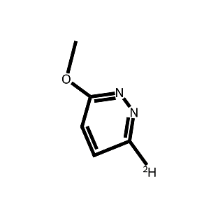 [2H]c1ccc(OC)nn1